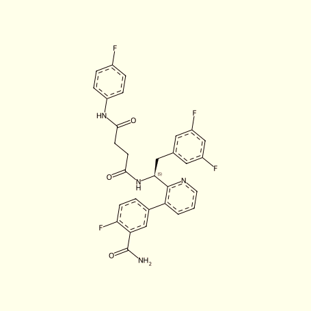 NC(=O)c1cc(-c2cccnc2[C@H](Cc2cc(F)cc(F)c2)NC(=O)CCC(=O)Nc2ccc(F)cc2)ccc1F